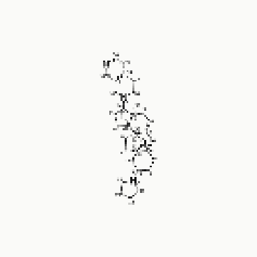 C[C@]12CC=C3C=C4CC[C@H](N5CCCC5)C[C@]45CC[C@]3(O5)[C@@H]1CCC2N1CCc2ccncc2C1